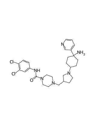 NC1(c2cccnc2)CCC(N2CCC(CN3CCN(C(=O)Nc4ccc(Cl)c(Cl)c4)CC3)C2)CC1